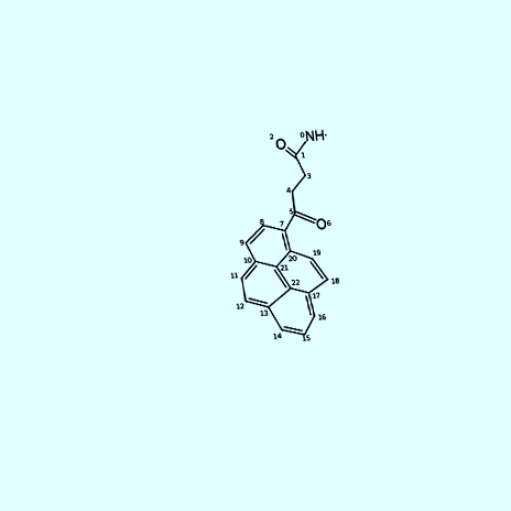 [NH]C(=O)CCC(=O)c1ccc2ccc3cccc4ccc1c2c34